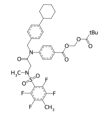 Cc1c(F)c(F)c(S(=O)(=O)N(C)CC(=O)N(Cc2ccc(C3CCCCC3)cc2)c2ccc(C(=O)OCOC(=O)C(C)(C)C)cc2)c(F)c1F